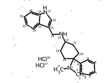 CN(C)C1(c2ccccc2)CCC(NCc2c[nH]c3ccccc23)CC1.Cl.Cl